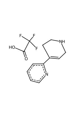 C1=C(c2ccccn2)CCNC1.O=C(O)C(F)(F)F